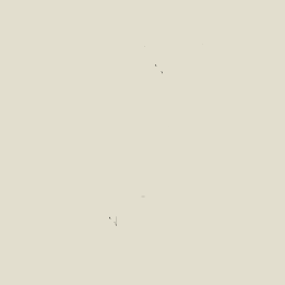 C1=Cc2ccccc2N(c2c3ccccc3c(-c3c4ccccc4c(N4c5ccccc5C=Cc5ccccc54)c4ccccc34)c3ccccc23)c2ccccc21